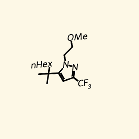 CCCCCCC(C)(C)c1cc(C(F)(F)F)nn1CCOC